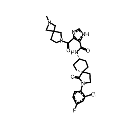 CN1CC2(CCN(C(=O)c3nc[nH]c3C(=O)N[C@H]3CC[C@@]4(CCN(c5ccc(F)cc5Cl)C4=O)CC3)C2)C1